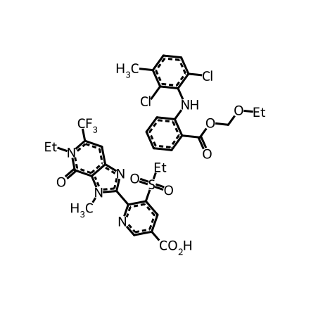 CCOCOC(=O)c1ccccc1Nc1c(Cl)ccc(C)c1Cl.CCn1c(C(F)(F)F)cc2nc(-c3ncc(C(=O)O)cc3S(=O)(=O)CC)n(C)c2c1=O